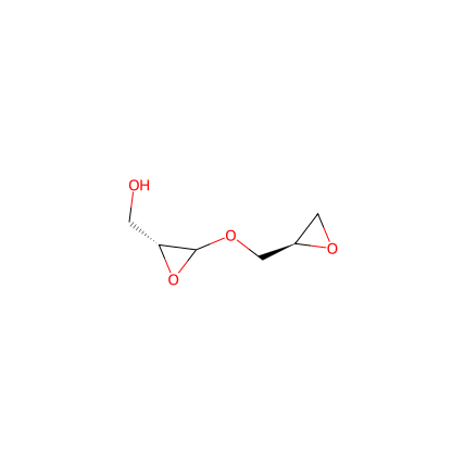 OC[C@H]1OC1OC[C@H]1CO1